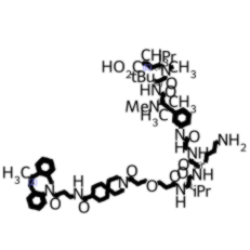 CN[C@H](C(=O)N[C@H](C(=O)N(C)[C@H](/C=C(\C)C(=O)O)C(C)C)C(C)(C)C)C(C)(C)c1cccc(NC(=O)CNC(=O)[C@H](CCCCN)NC(=O)[C@@H](NC(=O)CCOCCC(=O)N2CCC3(CCC(C(=O)NCCC(=O)N4Cc5ccccc5/C(C)=C\c5ccccc54)CC3)CC2)C(C)C)c1